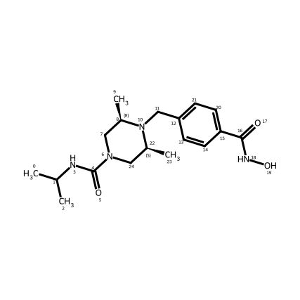 CC(C)NC(=O)N1C[C@@H](C)N(Cc2ccc(C(=O)NO)cc2)[C@@H](C)C1